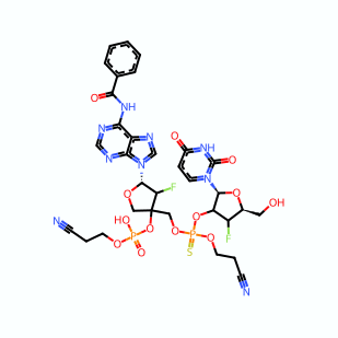 N#CCCOP(=O)(O)OC1(COP(=S)(OCCC#N)OC2C(F)[C@H](CO)O[C@@H]2n2ccc(=O)[nH]c2=O)CO[C@H](n2cnc3c(NC(=O)c4ccccc4)ncnc32)C1F